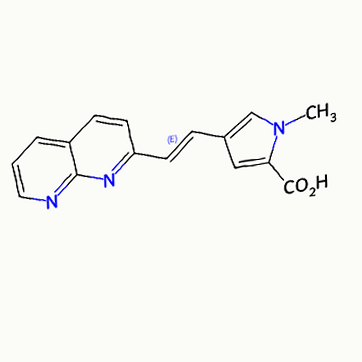 Cn1cc(/C=C/c2ccc3cccnc3n2)cc1C(=O)O